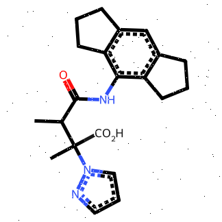 CC(C(=O)Nc1c2c(cc3c1CCC3)CCC2)C(C)(C(=O)O)n1cccn1